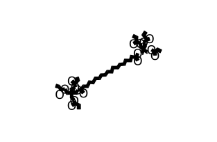 C=CC(=O)OCC(COC(=O)C=C)(COC(=O)C=C)COC(=O)CCCCCCCCCCCCCCCCCC(=O)OCC(COC(=O)C=C)(COC(=O)C=C)COC(=O)C=C